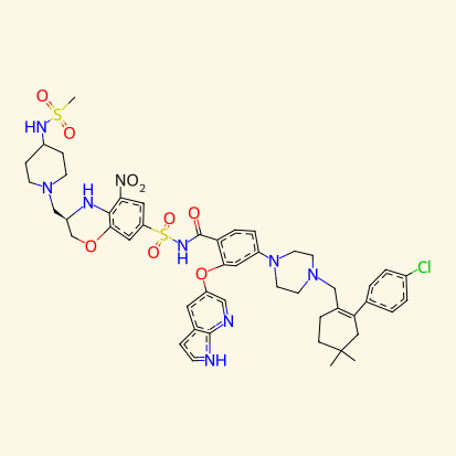 CC1(C)CCC(CN2CCN(c3ccc(C(=O)NS(=O)(=O)c4cc5c(c([N+](=O)[O-])c4)N[C@H](CN4CCC(NS(C)(=O)=O)CC4)CO5)c(Oc4cnc5[nH]ccc5c4)c3)CC2)=C(c2ccc(Cl)cc2)C1